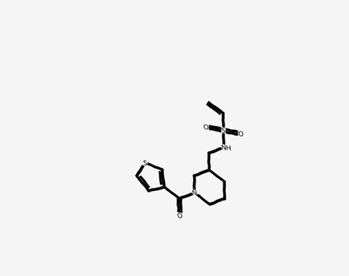 C=CS(=O)(=O)NCC1CCCN(C(=O)c2ccsc2)C1